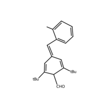 Cc1ccccc1C=C1C=C(C(C)(C)C)C(C=O)C(C(C)(C)C)=C1